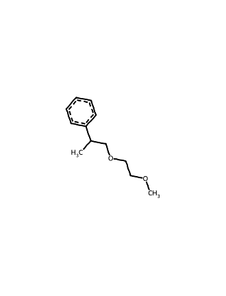 COCCOCC(C)c1ccccc1